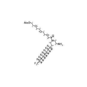 COCCOCCOCCOCC(=O)N(CCN)CCC(F)(F)C(F)(F)C(F)(F)C(F)(F)C(F)(F)C(F)(F)C(F)(F)C(F)(F)F